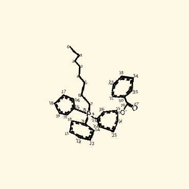 CCCCCCCC[P+](c1ccccc1)(c1ccccc1)c1ccccc1.O=C([O-])c1ccccc1